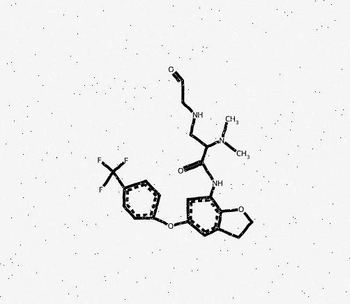 CN(C)C(CNCC=O)C(=O)Nc1cc(Oc2ccc(C(F)(F)F)cc2)cc2c1OCC2